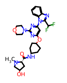 CN1C[C@H](O)C[C@H]1C(=O)N[C@H]1CC[C@H](Oc2cc(-n3c(C(F)F)nc4ccccc43)nc(N3CCOCC3)n2)CC1